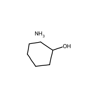 N.OC1CCCCC1